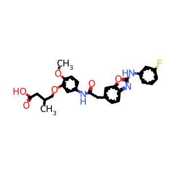 COc1ccc(NC(=O)Cc2ccc3nc(Nc4cccc(F)c4)oc3c2)cc1OCC(C)CC(=O)O